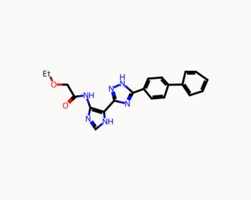 CCOCC(=O)Nc1nc[nH]c1-c1n[nH]c(-c2ccc(-c3ccccc3)cc2)n1